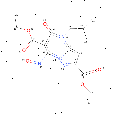 CCOC(=O)c1cc2n(CC(C)C)c(=O)c(C(=O)OCC)c(N=O)n2n1